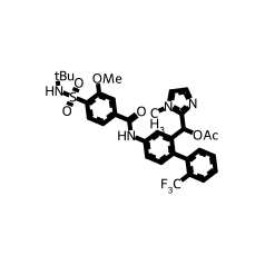 COc1cc(C(=O)Nc2ccc(-c3ccccc3C(F)(F)F)c(C(OC(C)=O)c3nccn3C)c2)ccc1S(=O)(=O)NC(C)(C)C